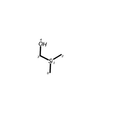 C[Si](C)CO